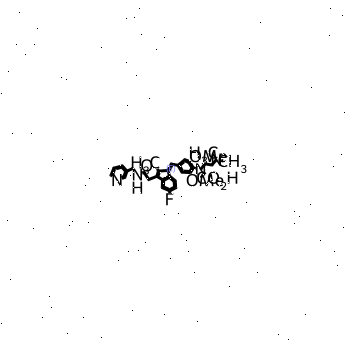 COc1cc(/C=C2/C(C)=C(CC(=O)NCc3cccnc3)c3cc(F)ccc32)cc(OC)c1N(CCN(C)C)C(=O)O